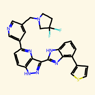 FC1(F)CCN(Cc2cncc(-c3ccc4[nH]nc(-c5nc6c(-c7ccsc7)cccc6[nH]5)c4n3)c2)C1